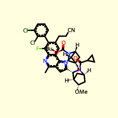 CO[C@H]1C[C@H]2C[C@@H]1[C@H](c1cc3c(C)nc4c(F)c(-c5cccc(Cl)c5Cl)c(CCC#N)cc4c3n1[C@H]1[C@@H]3C[C@H]1N(C(=O)OC(C)(C)C)C3)N2C(=O)C1CC1